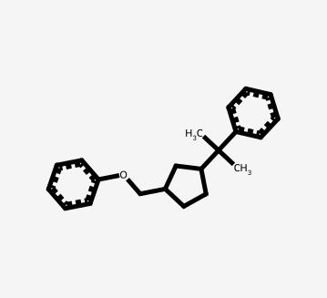 CC(C)(c1ccccc1)C1CCC(COc2ccccc2)C1